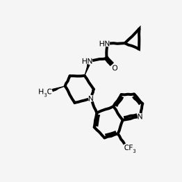 C[C@H]1C[C@@H](NC(=O)NC2CC2)CN(c2ccc(C(F)(F)F)c3ncccc23)C1